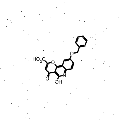 O=C(O)c1cc(=O)c2c(O)nc3ccc(OCc4ccccc4)cc3c2o1